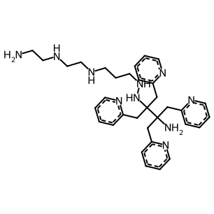 NCCNCCNCCCNNC(Cc1ccccn1)(Cc1ccccn1)C(N)(Cc1ccccn1)Cc1ccccn1